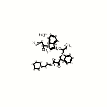 CCC(C)n1cc(C(=O)C(=O)NCCN2CCCCC2)c2ccccc21.CCC(C)n1ccc2ccccc21.Cl